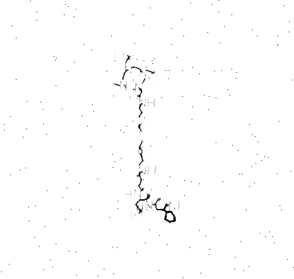 O=CCN1CCN(CC(=O)O)CCN(CC(=O)O)CCN(CC(=O)NCCCOCCOCCOCCCNC(=O)CCC(=O)NC(CC(=O)O)C(=O)NC(C=O)Cc2c[nH]c3ccccc23)CC1